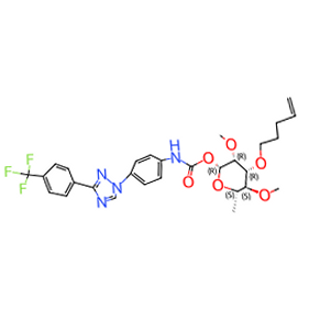 C=CCCCO[C@@H]1[C@@H](OC)[C@H](C)O[C@H](OC(=O)Nc2ccc(-n3cnc(-c4ccc(C(F)(F)F)cc4)n3)cc2)[C@@H]1OC